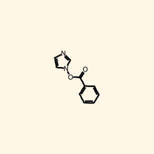 O=C(On1ccnc1)c1ccccc1